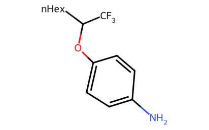 CCCCCCC(Oc1ccc(N)cc1)C(F)(F)F